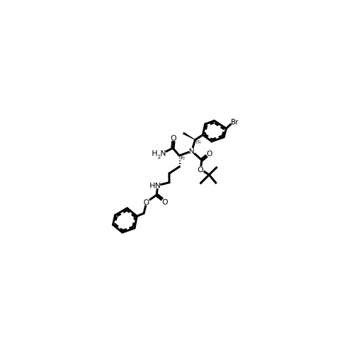 C[C@@H](c1ccc(Br)cc1)N(C(=O)OC(C)(C)C)[C@H](CCCNC(=O)OCc1ccccc1)C(N)=O